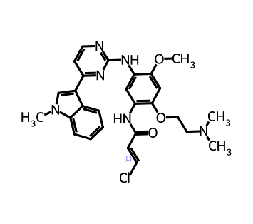 COc1cc(OCCN(C)C)c(NC(=O)/C=C/Cl)cc1Nc1nccc(-c2cn(C)c3ccccc23)n1